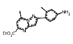 CCOC(=O)c1cc(C)n2nc(-c3ccc(N)cc3C)cc2n1